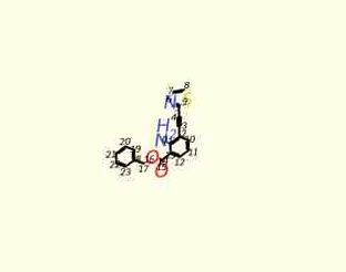 Nc1c(C#Cc2nccs2)cccc1C(=O)OCc1ccccc1